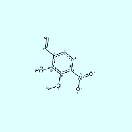 C=Cc1ccc([N+](=O)[O-])c(OC)c1O